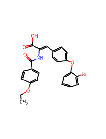 CCOc1ccc(C(=O)N/C(=C\c2ccc(Oc3ccccc3Br)cc2)C(=O)O)cc1